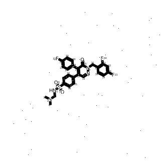 CN(C)CNS(=O)(=O)c1ccc(-c2cnn(Cc3ccc(F)cc3F)c(=O)c2-c2ccc(F)cc2)cc1